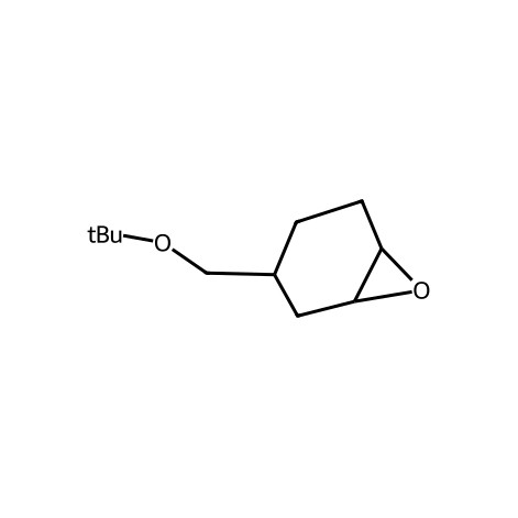 CC(C)(C)OCC1CCC2OC2C1